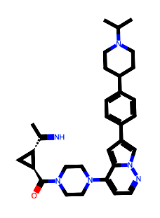 CC(=N)[C@H]1C[C@@H]1C(=O)N1CCN(c2ccnn3cc(-c4ccc(C5CCN(C(C)C)CC5)cc4)cc23)CC1